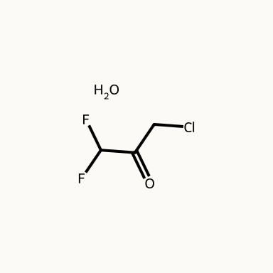 O.O=C(CCl)C(F)F